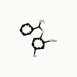 COc1cc(C(C)=O)ccc1SC(C)c1ccccc1